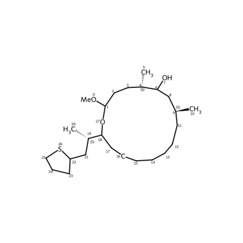 COC1CC[C@H](C)C(O)C[C@@H](C)CCCCCCCC([C@@H](C)CC2CCCS2)O1